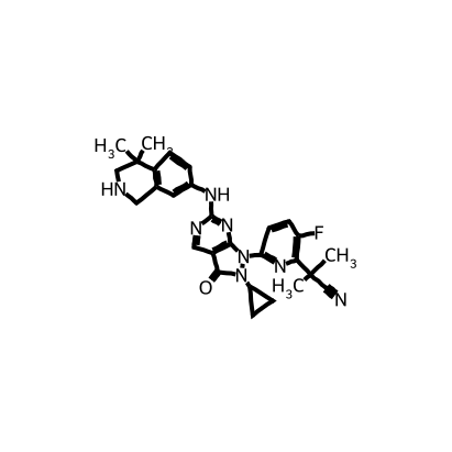 CC(C)(C#N)c1nc(-n2c3nc(Nc4ccc5c(c4)CNCC5(C)C)ncc3c(=O)n2C2CC2)ccc1F